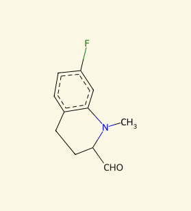 CN1c2cc(F)ccc2CCC1C=O